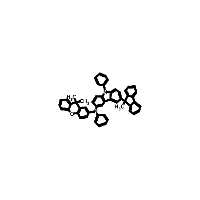 CC1(C)c2ccccc2Oc2ccc(N(c3ccccc3)c3ccc4c(c3)c3cc(C5(C)c6ccccc6-c6ccccc65)ccc3n4-c3ccccc3)cc21